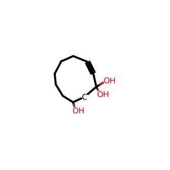 OC1CCCCCC#CC(O)(O)C1